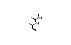 C=CC(C)NC(=S)NC